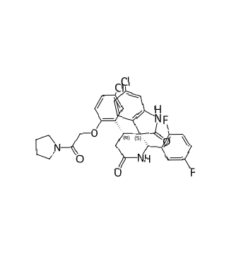 O=C1C[C@H](c2cc(Cl)ccc2OCC(=O)N2CCCC2)[C@@]2(C(=O)Nc3cc(Cl)ccc32)C(c2cc(F)ccc2F)N1